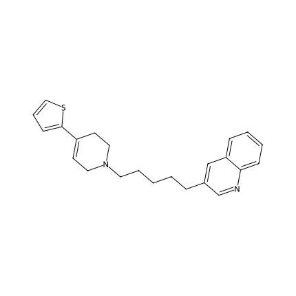 C1=C(c2cccs2)CCN(CCCCCc2cnc3ccccc3c2)C1